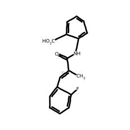 C/C(=C\c1ccccc1F)C(=O)Nc1ccccc1C(=O)O